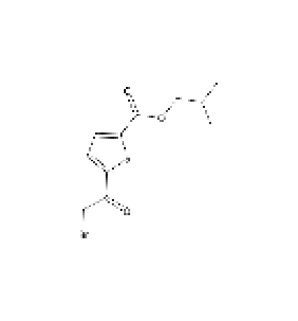 CC(C)COC(=O)c1ccc(C(=O)CBr)s1